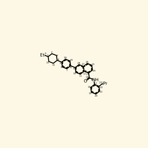 CCC1CCC(c2ccc(-c3ccc4c(C(=O)Nc5ccccc5C(C)C)cccc4c3)cc2)CC1